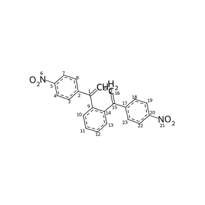 C=C(c1ccc([N+](=O)[O-])cc1)c1ccccc1C(=C)c1ccc([N+](=O)[O-])cc1